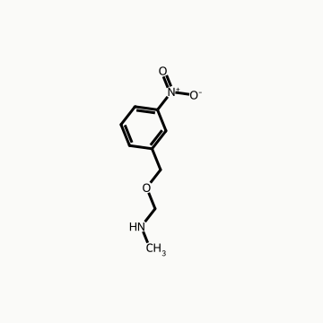 CNCOCc1cccc([N+](=O)[O-])c1